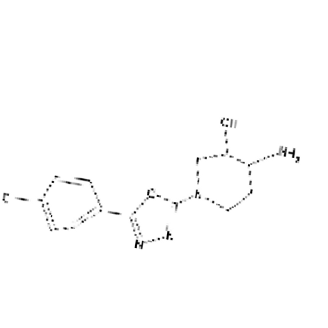 NC1CCN(c2nnc(-c3ccc(Cl)cc3)o2)CC1O